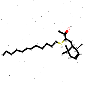 CCCCCCCCCCCCSC(CC1[C@@H](C)C=CCC1(C)C)C(C)=O